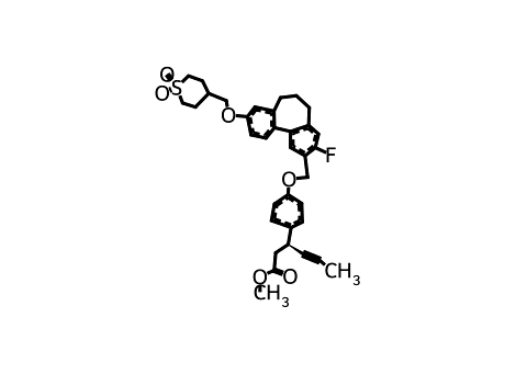 CC#C[C@@H](CC(=O)OC)c1ccc(OCc2cc3c(cc2F)CCCc2cc(OCC4CCS(=O)(=O)CC4)ccc2-3)cc1